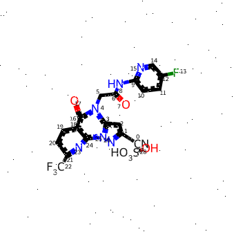 N#Cc1cc2n(CC(=O)Nc3ccc(F)cn3)c(=O)c3ccc(C(F)(F)F)nc3n2n1.O=S(=O)(O)O